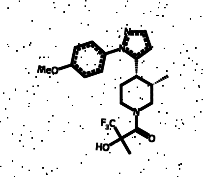 COc1ccc(-n2nccc2[C@H]2CCN(C(=O)C(C)(O)C(F)(F)F)C[C@H]2C)cc1